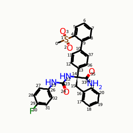 CS(=O)(=O)c1ccccc1-c1ccc([C@@](Cc2ccccc2)(NC(=O)Nc2ccc(F)cc2)C(N)=O)cc1